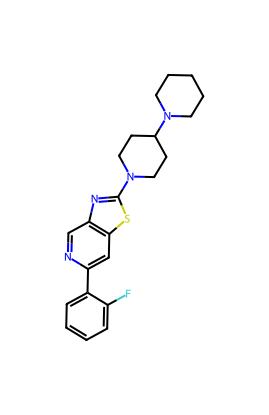 Fc1ccccc1-c1cc2sc(N3CCC(N4CCCCC4)CC3)nc2cn1